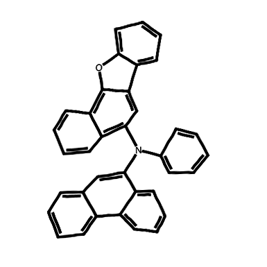 c1ccc(N(c2cc3ccccc3c3ccccc23)c2cc3c4ccccc4oc3c3ccccc23)cc1